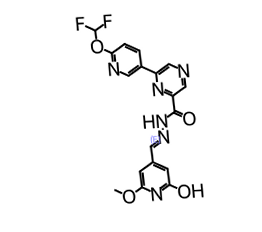 COc1cc(/C=N/NC(=O)c2cncc(-c3ccc(OC(F)F)nc3)n2)cc(O)n1